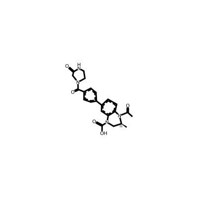 CC(=O)N1c2ccc(-c3ccc(C(=O)N4CCNC(=O)C4)cc3)cc2N(C(=O)O)C[C@@H]1C